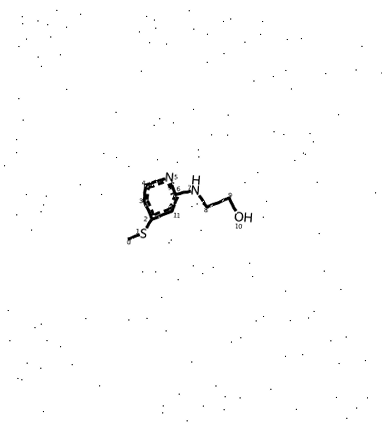 CSc1ccnc(NCCO)c1